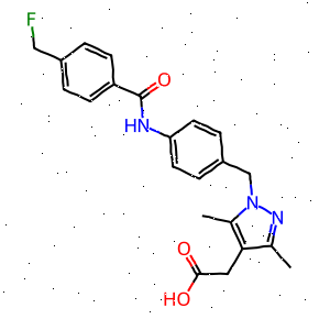 Cc1nn(Cc2ccc(NC(=O)c3ccc(CF)cc3)cc2)c(C)c1CC(=O)O